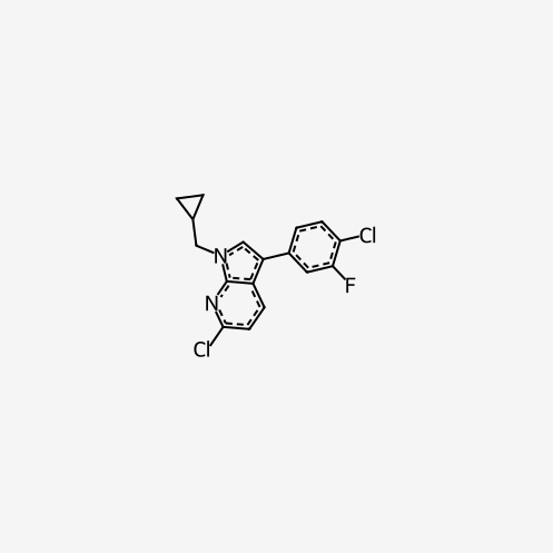 Fc1cc(-c2cn(CC3CC3)c3nc(Cl)ccc23)ccc1Cl